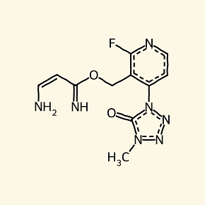 Cn1nnn(-c2ccnc(F)c2COC(=N)/C=C\N)c1=O